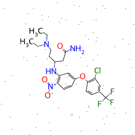 CCN(CC)CCC(CC(N)=O)Nc1cc(Oc2ccc(C(F)(F)F)cc2Cl)ccc1[N+](=O)[O-]